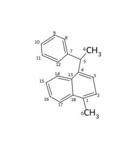 Cc1ccc(C(C)c2ccccc2)c2ccccc12